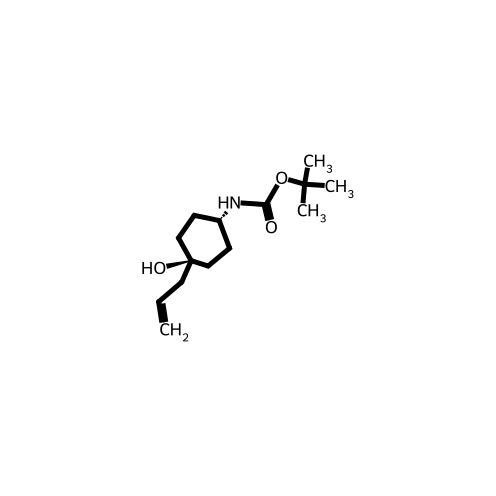 C=CC[C@]1(O)CC[C@H](NC(=O)OC(C)(C)C)CC1